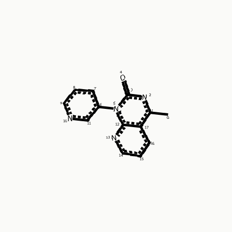 Cc1nc(=O)n(-c2cccnc2)c2ncccc12